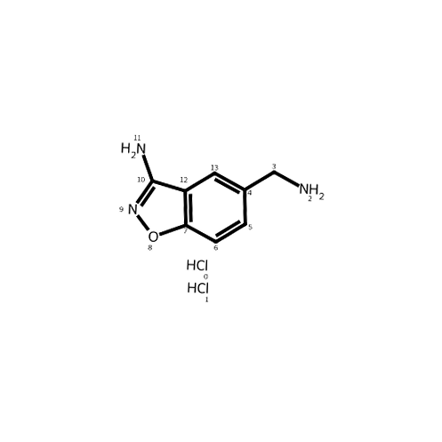 Cl.Cl.NCc1ccc2onc(N)c2c1